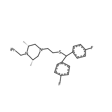 CC(C)CN1[C@H](C)CN(CCSC(c2ccc(F)cc2)c2ccc(F)cc2)C[C@@H]1C